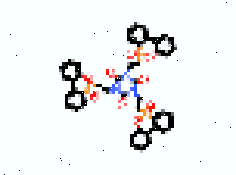 O=c1n(CCP2(=O)Oc3ccccc3-c3ccccc32)c(=O)n(CCP2(=O)Oc3ccccc3-c3ccccc32)c(=O)n1CCP1(=O)Oc2ccccc2-c2ccccc21